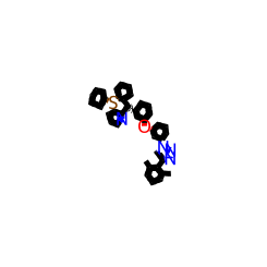 Cc1cccc(C)c1-c1cn(-c2cccc(Oc3cccc([C@H](c4ccccn4)c4ccccc4Sc4ccccc4)c3)c2)nn1